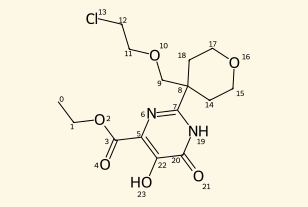 CCOC(=O)c1nc(C2(COCCCl)CCOCC2)[nH]c(=O)c1O